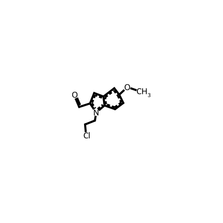 COc1ccc2c(c1)cc(C=O)n2CCCl